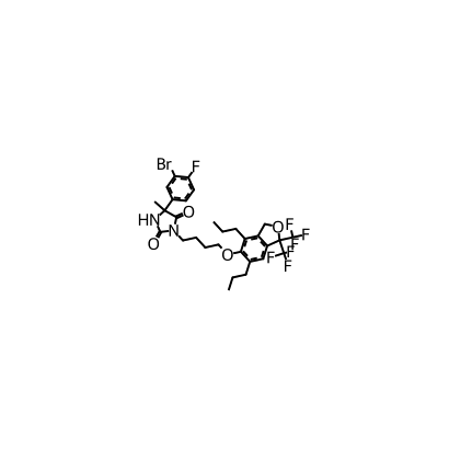 CCCc1cc2c(c(CCC)c1OCCCCN1C(=O)NC(C)(c3ccc(F)c(Br)c3)C1=O)COC2(C(F)(F)F)C(F)(F)F